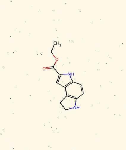 CCOC(=O)c1cc2c3c(ccc2[nH]1)NCC3